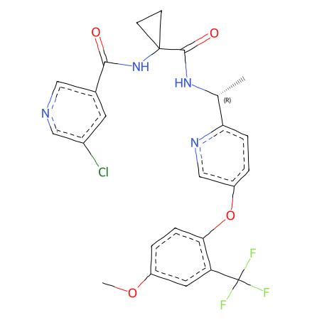 COc1ccc(Oc2ccc([C@@H](C)NC(=O)C3(NC(=O)c4cncc(Cl)c4)CC3)nc2)c(C(F)(F)F)c1